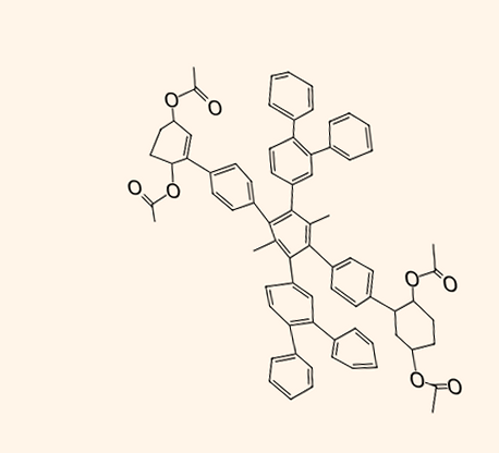 CC(=O)OC1C=C(c2ccc(-c3c(C)c(-c4ccc(-c5ccccc5)c(-c5ccccc5)c4)c(-c4ccc(C5CC(OC(C)=O)CCC5OC(C)=O)cc4)c(C)c3-c3ccc(-c4ccccc4)c(-c4ccccc4)c3)cc2)C(OC(C)=O)CC1